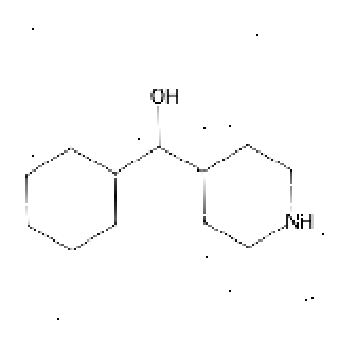 OC(C1CCCCC1)C1CCNCC1